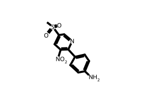 CS(=O)(=O)c1cnc(-c2ccc(N)cc2)c([N+](=O)[O-])c1